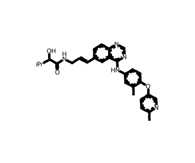 Cc1ccc(Oc2ccc(Nc3ncnc4ccc(/C=C/CNC(=O)C(O)C(C)C)cc34)cc2C)cn1